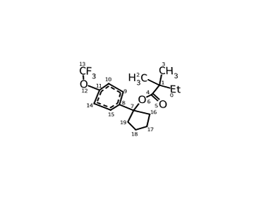 CCC(C)(C)C(=O)OC1(c2ccc(OC(F)(F)F)cc2)CCCC1